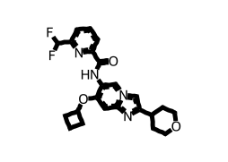 O=C(Nc1cn2cc(C3CCOCC3)nc2cc1OC1CCC1)c1cccc(C(F)F)n1